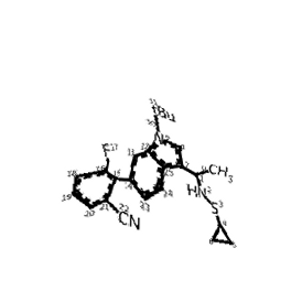 CC(NSC1CC1)c1cn(CC(C)(C)C)c2cc(-c3c(F)cccc3C#N)ccc12